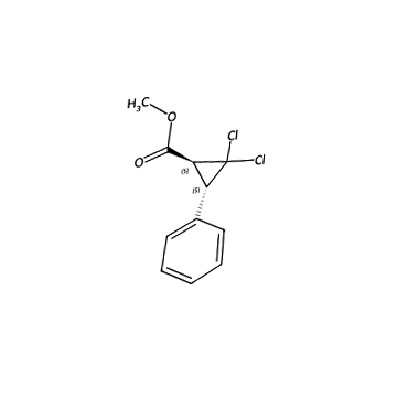 COC(=O)[C@@H]1[C@@H](c2ccccc2)C1(Cl)Cl